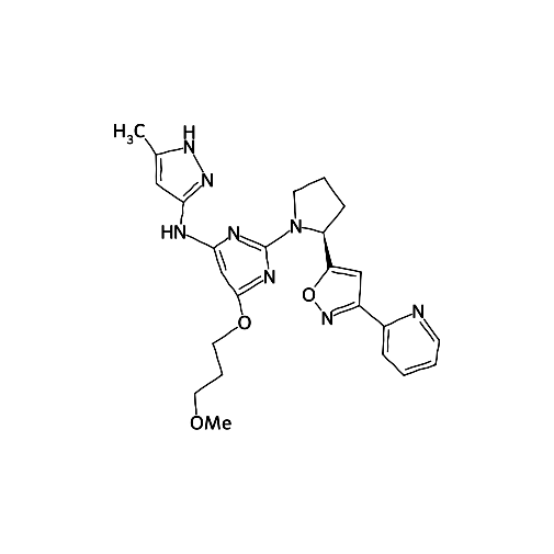 COCCCOc1cc(Nc2cc(C)[nH]n2)nc(N2CCC[C@H]2c2cc(-c3ccccn3)no2)n1